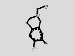 Cc1cc2c(cc1C(C)C)CN(CC#N)CC2